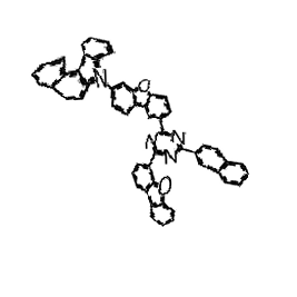 c1ccc2cc(-c3nc(-c4ccc5oc6cc(-n7c8ccccc8c8c9ccccc9ccc87)ccc6c5c4)nc(-c4cccc5c4oc4ccccc45)n3)ccc2c1